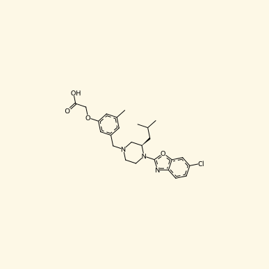 Cc1cc(CN2CCN(c3nc4ccc(Cl)cc4o3)[C@H](CC(C)C)C2)cc(OCC(=O)O)c1